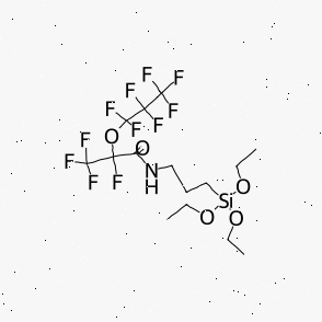 CCO[Si](CCCNC(=O)C(F)(OC(F)(F)C(F)(F)C(F)(F)F)C(F)(F)F)(OCC)OCC